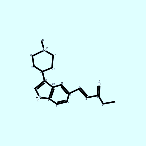 CCC(=O)C=Cc1ccc2[nH]cc(C3CCN(C)CC3)c2c1